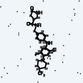 O=C1CC(C(=O)NCc2ccc(Nc3cc(F)c(N4CCC(C(F)(F)F)CC4)cc3Cl)cc2)CN1